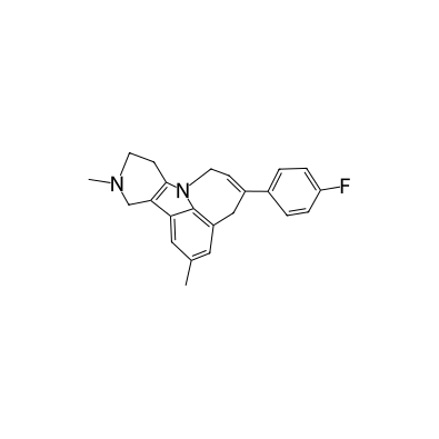 Cc1cc2c3c(c1)c1c(n3CC=C(c3ccc(F)cc3)C2)CCN(C)C1